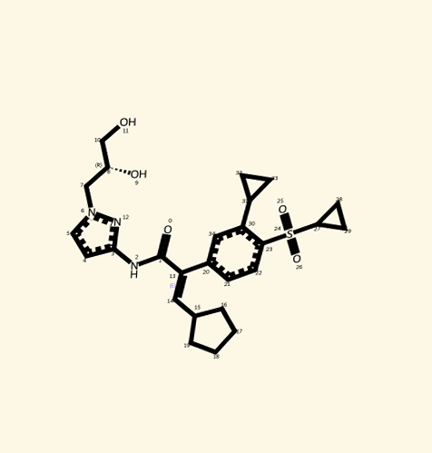 O=C(Nc1ccn(C[C@@H](O)CO)n1)/C(=C/C1CCCC1)c1ccc(S(=O)(=O)C2CC2)c(C2CC2)c1